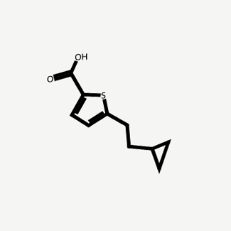 O=C(O)c1ccc(CCC2CC2)s1